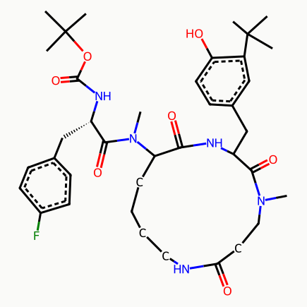 CN1CCC(=O)NCCCCC(N(C)C(=O)[C@H](Cc2ccc(F)cc2)NC(=O)OC(C)(C)C)C(=O)NC(Cc2ccc(O)c(C(C)(C)C)c2)C1=O